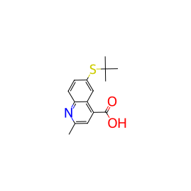 Cc1cc(C(=O)O)c2cc(SC(C)(C)C)ccc2n1